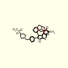 CN1C(=O)C2(CC3CCC(C2)N3c2ccncn2)c2c1cnc1[nH]c(-c3ccc(CN4CCC(S(C)(=O)=O)CC4)cc3)c(-c3ccccc3)c21